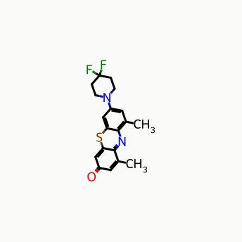 Cc1cc(=O)cc2sc3cc(N4CCC(F)(F)CC4)cc(C)c3nc1-2